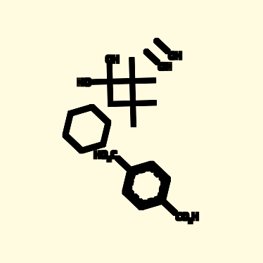 C1CCCCC1.CC1(C)CC(O)(O)C1(C)C.CO.CO.O=C(O)c1ccc(C(=O)O)cc1